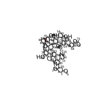 COc1ccc(OC)c(-c2[c]c(-c3ccc(C)nc3)c(-c3cccc(-c4cc(O)cc(F)c4-c4cccc(-c5cccc(O)c5-c5cc(OC)cc(-c6cccc(O)c6-c6cc(OC)cc(-c7cccc(OC(C)=O)c7)c6OC)c5OC)c4Oc4ccccc4)c3Cl)c(C)n2)c1